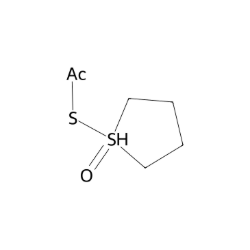 CC(=O)S[SH]1(=O)CCCC1